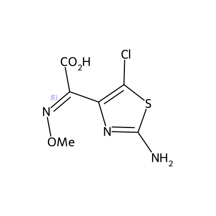 CO/N=C(/C(=O)O)c1nc(N)sc1Cl